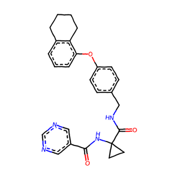 O=C(NC1(C(=O)NCc2ccc(Oc3cccc4c3CCCC4)cc2)CC1)c1cncnc1